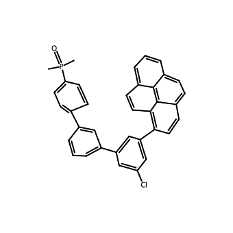 CP(C)(=O)c1ccc(-c2cccc(-c3cc(Cl)cc(-c4ccc5ccc6cccc7ccc4c5c67)c3)c2)cc1